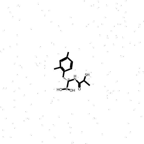 Cc1ccc(C[C@H](NC(=O)C(C)S)B(O)O)c(C)c1